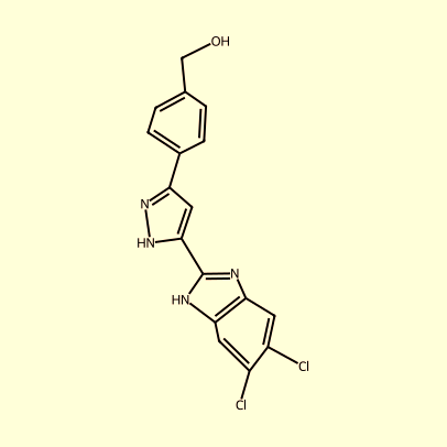 OCc1ccc(-c2cc(-c3nc4cc(Cl)c(Cl)cc4[nH]3)[nH]n2)cc1